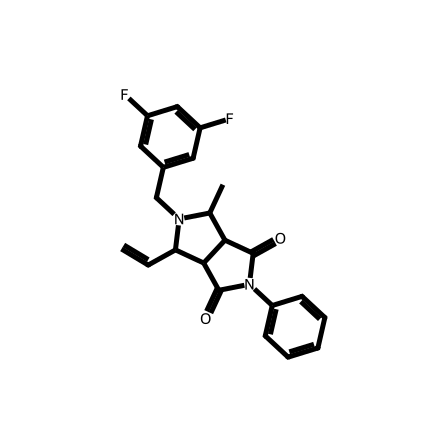 C=CC1C2C(=O)N(c3ccccc3)C(=O)C2C(C)N1Cc1cc(F)cc(F)c1